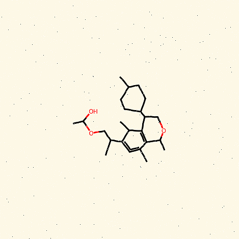 CC1=C=C(C(C)COC(C)O)C(C)C2=C1C(C)OCC2C1CCC(C)CC1